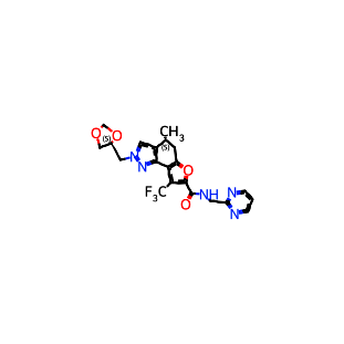 C[C@H]1Cc2oc(C(=O)NCc3ncccn3)c(C(F)(F)F)c2-c2nn(C[C@H]3COCO3)cc21